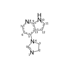 [C]1=NCCN1c1ccnc2[nH]ccc12